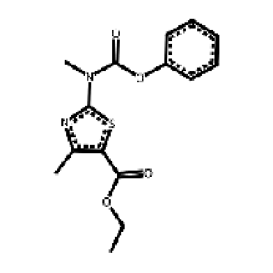 CCOC(=O)c1sc(N(C)C(=O)Oc2ccccc2)nc1C